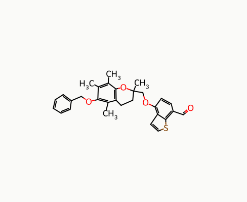 Cc1c(C)c2c(c(C)c1OCc1ccccc1)CCC(C)(COc1ccc(C=O)c3sccc13)O2